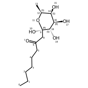 CCCCCCC(=O)C[C@@]1(O)O[C@@H](C)[C@@H](O)[C@@H](O)[C@@H]1O